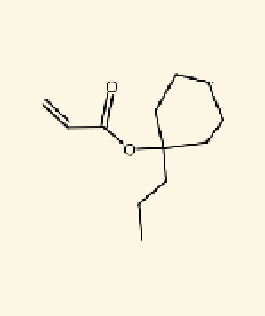 C=CC(=O)OC1(CCC)CC[CH]CC1